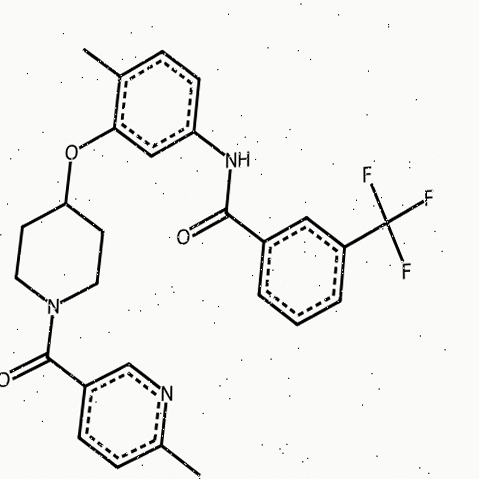 Cc1ccc(C(=O)N2CCC(Oc3cc(NC(=O)c4cccc(C(F)(F)F)c4)ccc3C)CC2)cn1